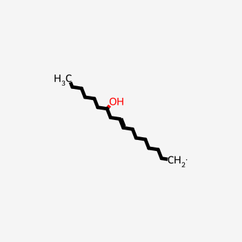 [CH2]CCCCCC/C=C/CC(O)CCCCCC